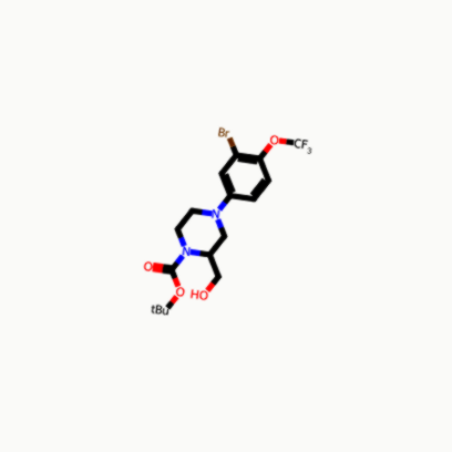 CC(C)(C)OC(=O)N1CCN(c2ccc(OC(F)(F)F)c(Br)c2)CC1CO